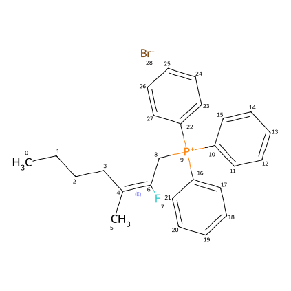 CCCC/C(C)=C(/F)C[P+](c1ccccc1)(c1ccccc1)c1ccccc1.[Br-]